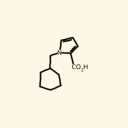 O=C(O)c1cccn1CC1CCCCC1